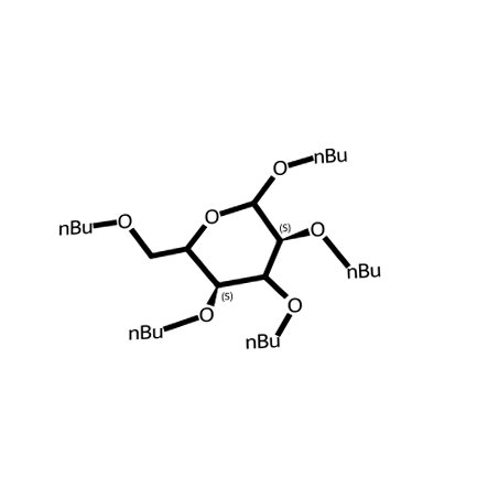 CCCCOCC1OC(OCCCC)[C@@H](OCCCC)C(OCCCC)[C@H]1OCCCC